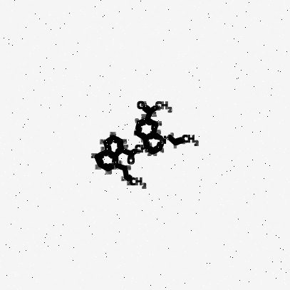 C=CC[n+]1cccc2ccc(C(C)=O)cc21.C=CC[n+]1cccc2cccc(C(C)=O)c21